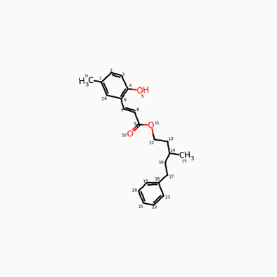 Cc1ccc(O)c(/C=C/C(=O)OCCC(C)CCc2ccccc2)c1